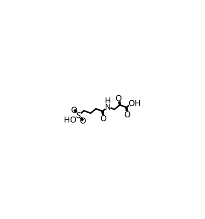 O=C(CCCS(=O)(=O)O)NCC(=O)C(=O)O